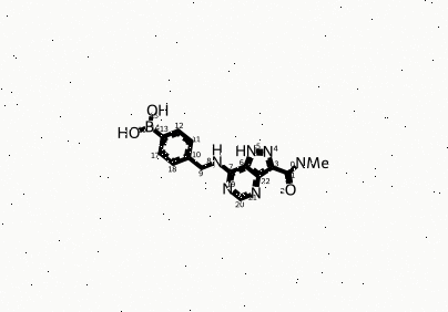 CNC(=O)c1n[nH]c2c(NCc3ccc(B(O)O)cc3)ncnc12